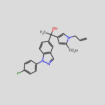 C=CCn1cc(C(O)(c2ccc3c(cnn3-c3ccc(F)cc3)c2)C(F)(F)F)cc1C(=O)O